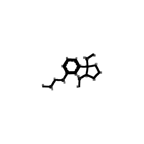 COCOc1cccc(C2(OC)CCCC2OC)c1